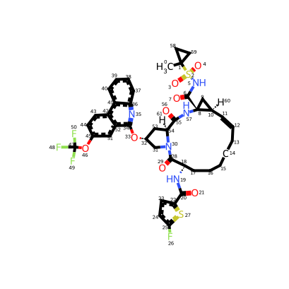 CC1(S(=O)(=O)NC(=O)[C@@]23C[C@H]2/C=C\CCCCC[C@H](NC(=O)c2ccc(F)s2)C(=O)N2C[C@H](Oc4nc5ccccc5c5ccc(OC(F)(F)F)cc45)C[C@H]2C(=O)N3)CC1